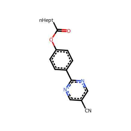 CCCCCCCC(=O)Oc1ccc(-c2ncc(C#N)cn2)cc1